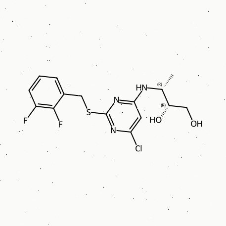 C[C@@H](Nc1cc(Cl)nc(SCc2cccc(F)c2F)n1)[C@@H](O)CO